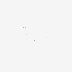 CCCCOCc1nn(C(c2ccc(OC(F)(F)F)cc2)C(C)C)c(N)c1C(N)=O